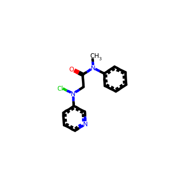 CN(C(=O)CN(Cl)c1cccnc1)c1ccccc1